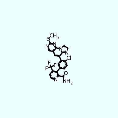 CSc1ncc2c(n1)N1CCN=C1C(c1cc(-c3c(C(F)(F)F)ccnc3C(N)=O)ccc1Cl)=C2